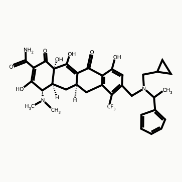 CC(c1ccccc1)N(Cc1cc(O)c2c(c1C(F)(F)F)C[C@H]1C[C@H]3[C@H](N(C)C)C(O)=C(C(N)=O)C(=O)[C@@]3(O)C(O)=C1C2=O)CC1CC1